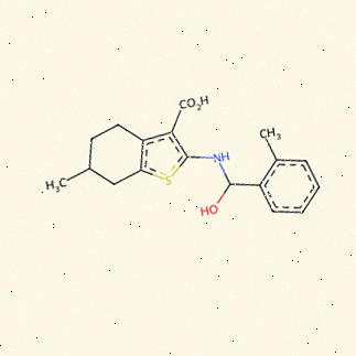 Cc1ccccc1C(O)Nc1sc2c(c1C(=O)O)CCC(C)C2